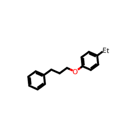 CCc1ccc(OCCCc2ccccc2)cc1